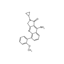 COc1ccccc1-c1cccc2c(N)c3c(nc12)CN(C1CC1)C3=O